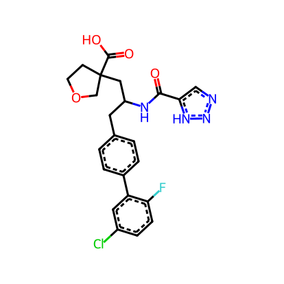 O=C(NC(Cc1ccc(-c2cc(Cl)ccc2F)cc1)CC1(C(=O)O)CCOC1)c1cnn[nH]1